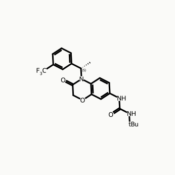 C[C@@H](c1cccc(C(F)(F)F)c1)N1C(=O)COc2cc(NC(=O)NC(C)(C)C)ccc21